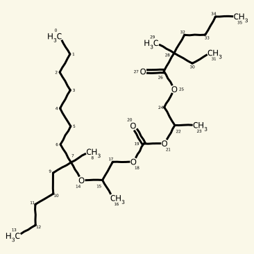 CCCCCCCC(C)(CCCCC)OC(C)COC(=O)OC(C)COC(=O)C(C)(CC)CCCC